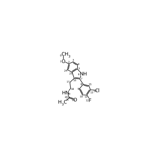 COc1ccc2[nH]c(-c3ccc(F)c(Cl)c3)c(CCNC(C)=O)c2c1